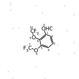 O=Cc1cccc(OC(F)(F)F)c1OC(F)(F)F